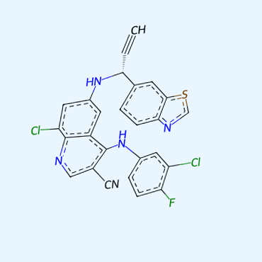 C#C[C@@H](Nc1cc(Cl)c2ncc(C#N)c(Nc3ccc(F)c(Cl)c3)c2c1)c1ccc2ncsc2c1